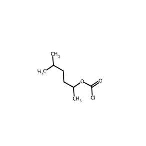 CC(C)CCC(C)OC(=O)Cl